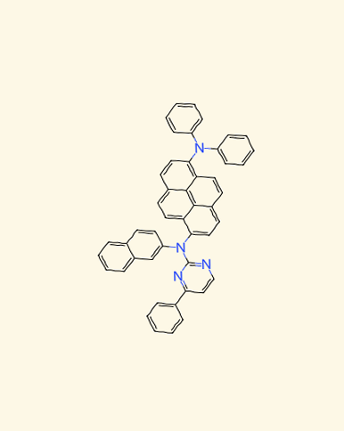 c1ccc(-c2ccnc(N(c3ccc4ccccc4c3)c3ccc4ccc5c(N(c6ccccc6)c6ccccc6)ccc6ccc3c4c65)n2)cc1